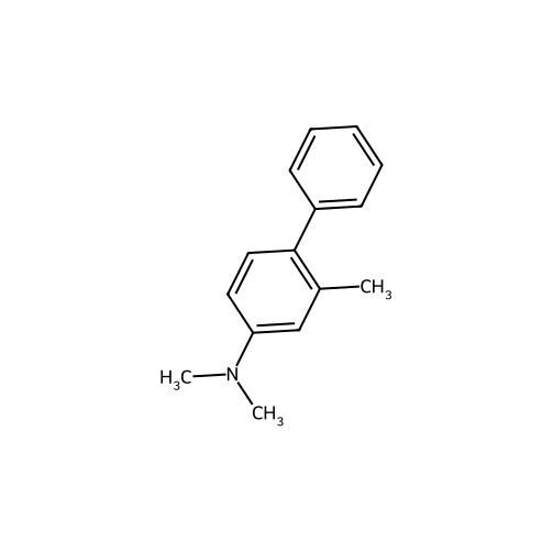 Cc1cc(N(C)C)ccc1-c1ccccc1